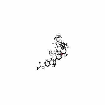 CC(C)(C)OC(=O)NC1=N[C@](C)(c2nc(NC(=O)c3ncc(OC(F)F)cc3Cl)ccc2F)[C@H]2CC3(CC3)CN=[S@]2(=O)C1(C)C